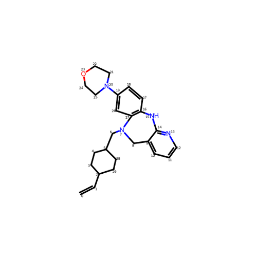 C=CC1CCC(CN2Cc3cccnc3Nc3ccc(N4CCOCC4)cc32)CC1